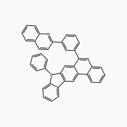 c1ccc(-n2c3ccccc3c3cc4c(cc32)c(-c2cccc(-c3ccc5ccccc5n3)c2)nc2ccccc24)cc1